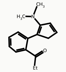 CCC(=O)c1ccccc1C1=C(N(C)C)C=CC1